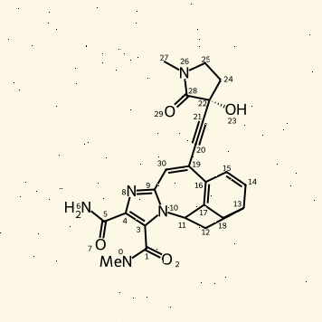 CNC(=O)c1c(C(N)=O)nc2n1C1CC3C=CC(=C1C3)C(C#C[C@]1(O)CCN(C)C1=O)=C2